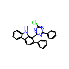 Clc1nc(-c2ccccc2)nc(-c2c(-c3ccccc3)ccc3c2[nH]c2ccccc23)n1